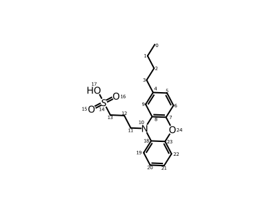 CCCCc1ccc2c(c1)N(CCCS(=O)(=O)O)c1ccccc1O2